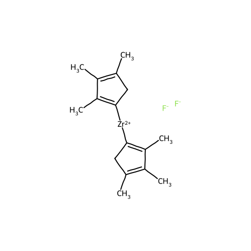 CC1=C(C)C(C)=[C]([Zr+2][C]2=C(C)C(C)=C(C)C2)C1.[F-].[F-]